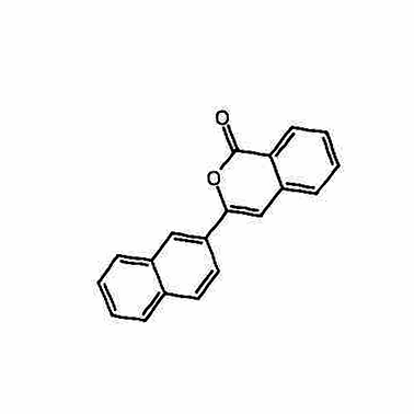 O=c1oc(-c2ccc3ccccc3c2)cc2ccccc12